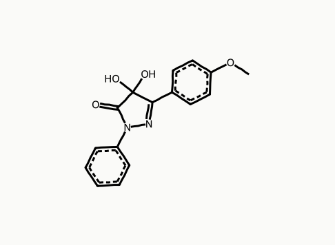 COc1ccc(C2=NN(c3ccccc3)C(=O)C2(O)O)cc1